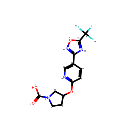 O=C(O)N1CCC(Oc2ccc(-c3noc(C(F)(F)F)n3)cn2)C1